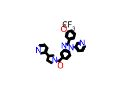 O=C(c1ccc2c(c1)nc(-c1cccc(OC(F)(F)F)c1)n2-c1cccnc1)N1CCC(c2cccnc2)C1